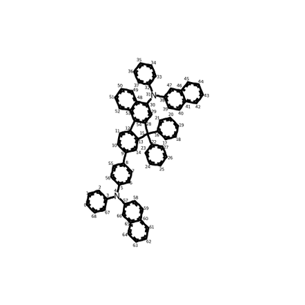 c1ccc(N(c2ccc(-c3ccc4c(c3)C(c3ccccc3)(c3ccccc3)c3cc(N(c5ccccc5)c5ccc6ccccc6c5)c5ccccc5c3-4)cc2)c2ccc3ccccc3c2)cc1